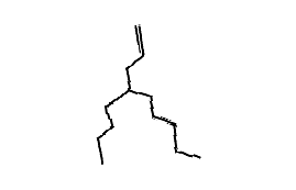 C=CCC(CCCC)CCCCC